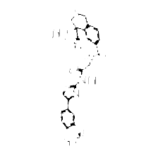 COc1cccc(-c2csc(NC(=O)CNC(=O)c3ccc4c(c3)C(C)(C#N)CNC4)n2)c1